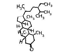 CC[C@H](CC[C@@H](C)[C@H]1CC[C@H]2[C@@H]3CC[C@H]4CC(=O)C[C@H](C)[C@]4(C)[C@H]3CC[C@]12C)C(C)C